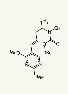 COc1ncc(C=CCC(C)N(C)C(=O)OC(C)(C)C)c(OC)n1